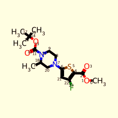 COC(=O)c1sc(N2CCN(C(=O)OC(C)(C)C)C(C)C2)cc1F